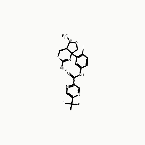 CC(F)(F)c1cnc(C(=O)Nc2ccc(F)c(C34CO[C@H](C(F)(F)F)C3COC(N)=N4)c2)cn1